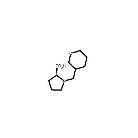 O=C(O)[C@@H]1CCCN1CC1CCCOC1